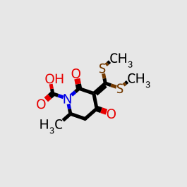 CSC(SC)=C1C(=O)CC(C)N(C(=O)O)C1=O